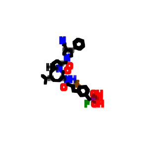 CC(C)[C@H]1CC[C@H](NC(=O)c2cc3cc(C(F)P(=O)(O)O)ccc3s2)C(=O)N2[C@H](CC[C@H]2C(=O)N2C[C@@H](C#N)[C@H](c3ccccc3)C2)C1